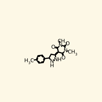 Cc1ccc(C2CC(=C3C(=O)N(C)C(=O)N(C)C3=O)NN2)cc1